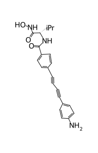 CC(C)[C@H](NC(=O)c1ccc(C#CC#Cc2ccc(N)cc2)cc1)C(=O)NO